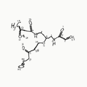 C=CC(=O)NCC(CNC(=O)C(=C)C)OCCC(=O)CP=O